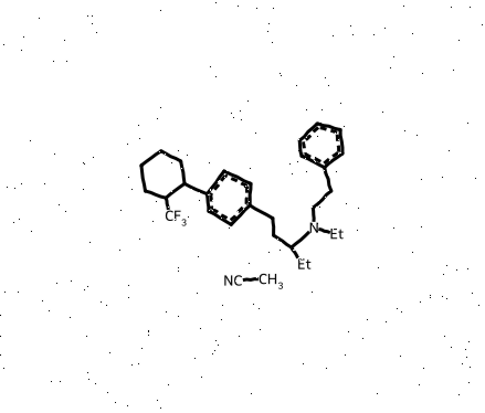 CC#N.CCC(CCc1ccc(C2CCCCC2C(F)(F)F)cc1)N(CC)CCc1ccccc1